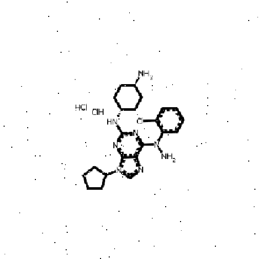 Cl.Cl.NN(c1ccccc1Cl)c1nc(N[C@H]2CC[C@H](N)CC2)nc2c1ncn2C1CCCC1